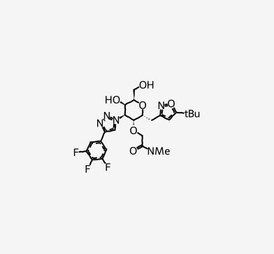 CNC(=O)CO[C@@H]1[C@@H](n2cc(-c3cc(F)c(F)c(F)c3)nn2)[C@@H](O)[C@@H](CO)O[C@@H]1Cc1cc(C(C)(C)C)on1